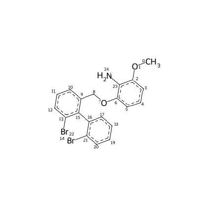 COc1cccc(OCc2cccc(Br)c2-c2ccccc2Br)c1N